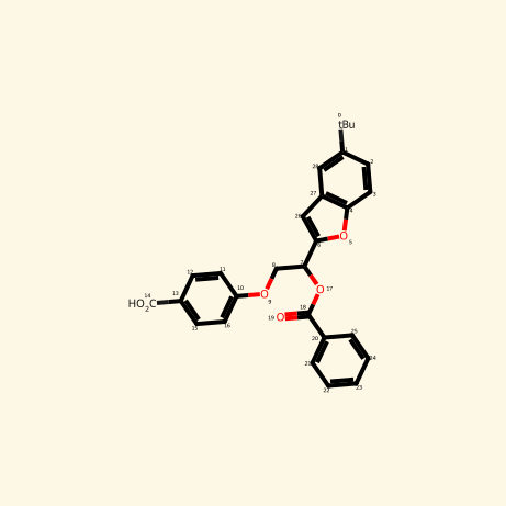 CC(C)(C)c1ccc2oc(C(COc3ccc(C(=O)O)cc3)OC(=O)c3ccccc3)cc2c1